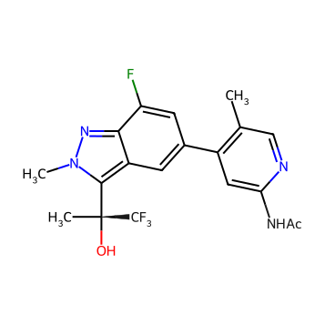 CC(=O)Nc1cc(-c2cc(F)c3nn(C)c([C@@](C)(O)C(F)(F)F)c3c2)c(C)cn1